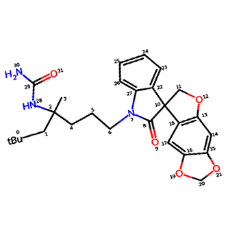 CC(C)(C)CC(C)(CCCN1C(=O)C2(COc3cc4c(cc32)OCO4)c2ccccc21)NC(N)=O